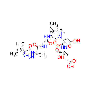 CC[C@H](C)[C@H](N)C(=O)N[C@@H](C)C(=O)NCC(=O)N[C@H](C(=O)N[C@@H](CC(=O)O)C(=O)N[C@@H](CCC(=O)O)C(=O)O)[C@@H](C)CC